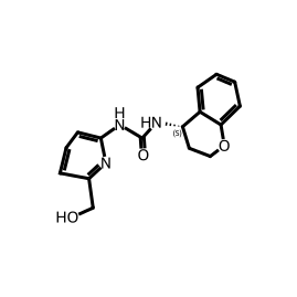 O=C(Nc1cccc(CO)n1)N[C@H]1CCOc2ccccc21